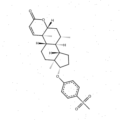 C[C@H]1C[C@H]2OC(=O)C=C[C@]2(C)[C@H]2CC[C@]3(C)[C@@H](Oc4ccc(S(C)(=O)=O)cc4)CC[C@H]3[C@H]12